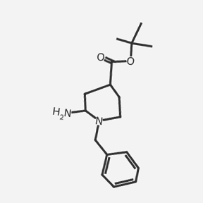 CC(C)(C)OC(=O)C1CCN(Cc2ccccc2)C(N)C1